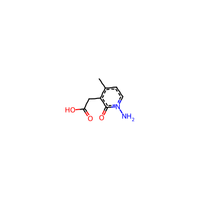 Cc1ccn(N)c(=O)c1CC(=O)O